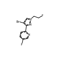 FCCn1cc(Br)c(-c2ccc(F)cn2)n1